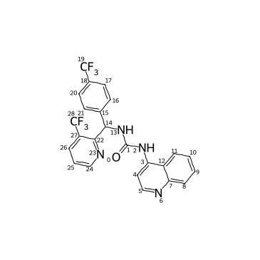 O=C(Nc1ccnc2ccccc12)NC(c1ccc(C(F)(F)F)cc1)c1ncccc1C(F)(F)F